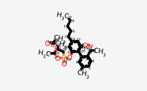 C=C(C)c1ccc(C)cc1-c1c(O)cc(CCCCC)cc1OP(=O)(CCC)OC(C)OC(C)=O